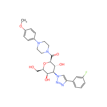 COc1ccc(N2CCN(C(=O)[C@@H]3O[C@H](CO)[C@H](O)[C@H](n4cc(-c5cccc(F)c5)nn4)[C@H]3O)CC2)cc1